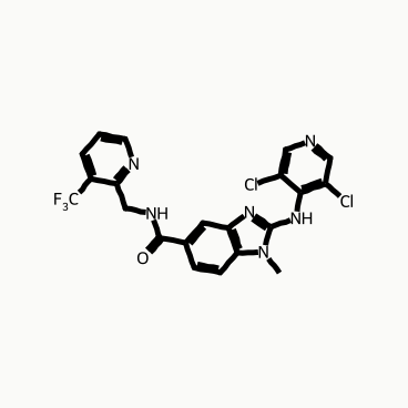 Cn1c(Nc2c(Cl)cncc2Cl)nc2cc(C(=O)NCc3ncccc3C(F)(F)F)ccc21